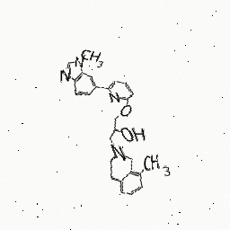 Cc1cccc2c1CN(CC(O)COc1cccc(-c3ccc4ncn(C)c4c3)n1)CC2